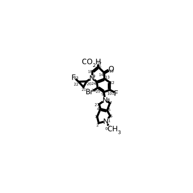 CN1CCC2=C(C1)CN(c1c(F)cc3c(=O)c(C(=O)O)cn(C4CC4F)c3c1Br)C2